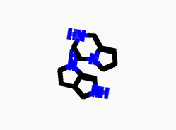 C1=C2CNCCN2CC1.C1=C2NCCC2CN1